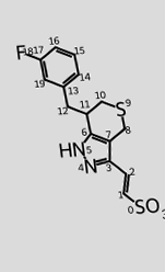 O=S(=O)(O)/C=C/c1n[nH]c2c1CSCC2Cc1cccc(F)c1